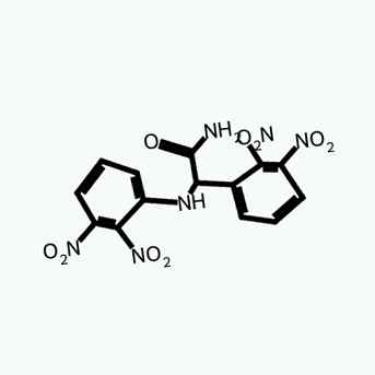 NC(=O)C(Nc1cccc([N+](=O)[O-])c1[N+](=O)[O-])c1cccc([N+](=O)[O-])c1[N+](=O)[O-]